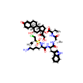 C#C[C@H](CCl)S(=O)(=O)N[C@H](CCCCN)C(=O)N[C@H](Cc1c[nH]c2ccccc12)C(=O)N[C@H](C(=O)N[C@H](CC(C)C)C(=O)O[C@]1(C(=O)CO)CC[C@H]2[C@@H]3CCC4=CC(=O)C=C[C@]4(C)[C@H]3[C@@H](O)C[C@@]21C)[C@H](C)CC